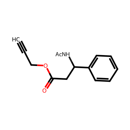 C#CCOC(=O)CC(NC(C)=O)c1ccccc1